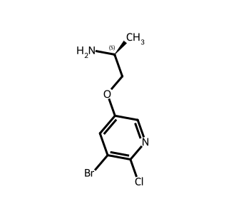 C[C@H](N)COc1cnc(Cl)c(Br)c1